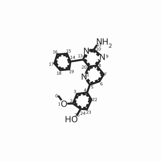 COc1cc(-c2ccc3nc(N)nc(-c4ccccc4)c3n2)ccc1O